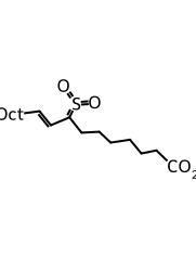 CCCCCCCC/C=C/C(CCCCCCC(=O)O)=S(=O)=O